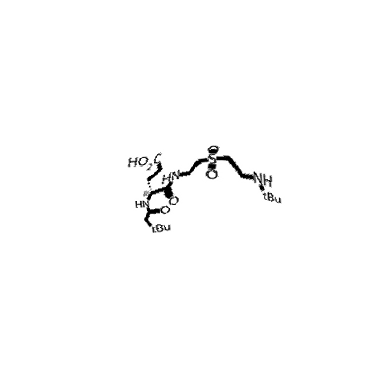 CC(C)(C)CC(=O)N[C@H](CCC(=O)O)C(=O)NCCS(=O)(=O)CCNC(C)(C)C